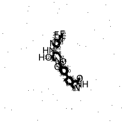 O=c1[nH]ncc2ccc(-c3ccc(S(=O)(=O)N4CC[C@@H](Nc5ccc(C(F)(F)F)cn5)[C@@H](O)C4)cc3)cc12